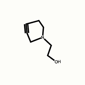 OCCN1CC#CCC1